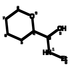 CCNC(O)C1CCCCO1